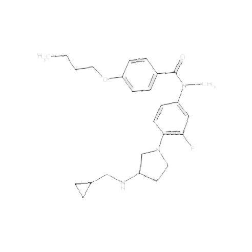 CCCCOc1ccc(C(=O)N(C)c2ccc(N3CCC(NCC4CC4)C3)c(F)c2)cc1